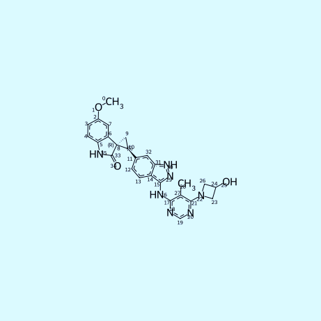 COc1ccc2c(c1)[C@]1(C[C@H]1c1ccc3c(Nc4ncnc(N5CC(O)C5)c4C)n[nH]c3c1)C(=O)N2